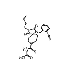 CSCCC1NC2(CCN(C(=S)NC(=O)O)CC2)N(Cc2ccccc2C#N)C1=O